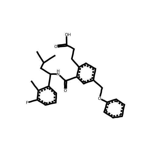 Cc1c(F)cccc1C(CC(C)C)NC(=O)c1cc(COc2ccccc2)ccc1CCC(=O)O